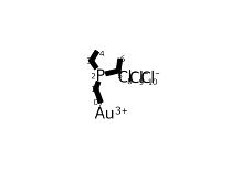 CCP(CC)CC.[Au+3].[Cl-].[Cl-].[Cl-]